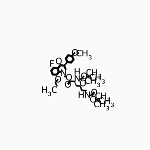 CCCOc1ccc(F)c2c(=O)c(-c3ccc(OC)cc3)cn(COC(=O)[C@H](CCCCNC(=O)OC(C)(C)C)NC(=O)OC(C)(C)C)c12